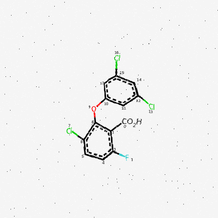 O=C(O)c1c(F)ccc(Cl)c1Oc1cc(Cl)cc(Cl)c1